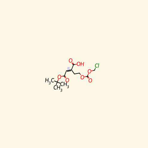 CC(C)(C)OC(=O)/C=C(\CCOC(=O)OCCl)C(=O)O